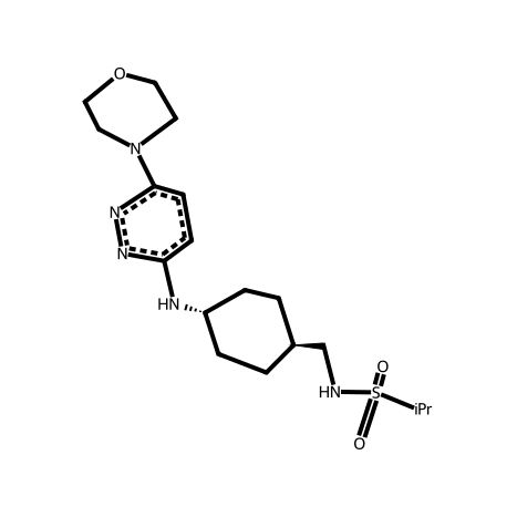 CC(C)S(=O)(=O)NC[C@H]1CC[C@H](Nc2ccc(N3CCOCC3)nn2)CC1